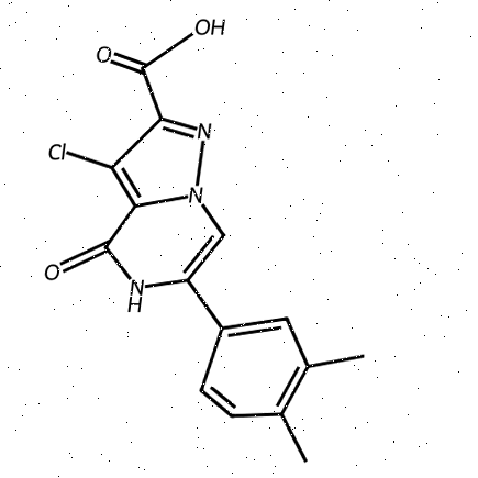 Cc1ccc(-c2cn3nc(C(=O)O)c(Cl)c3c(=O)[nH]2)cc1C